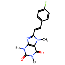 CCn1c(=O)c2c(nc(/C=C/c3ccc(F)cc3)n2C)n(CC)c1=O